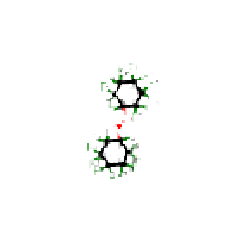 FC1(F)C(F)(F)C(F)(F)C(F)(OOC2(F)C(F)(F)C(F)(F)C(F)(F)C(F)(F)C2(F)F)C(F)(F)C1(F)F